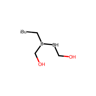 CCC(C)CB(BCO)CO